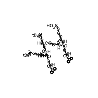 CC(C)(C)OC(=O)CCOCCOCCOCCC(=O)NCCN(CCNC(=O)CCOCCOCCC(=O)OC(C)(C)C)C(=O)CCOCCNC(=O)OCC1c2ccccc2-c2ccccc21.O=C(O)CCOCCOCCOCCC(=O)NCCN(CCNC(=O)CCOCCOCCC(=O)O)C(=O)CCOCCNC(=O)OCC1c2ccccc2-c2ccccc21